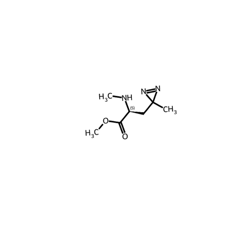 CN[C@@H](CC1(C)N=N1)C(=O)OC